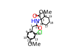 COC(=O)C1(NC(=O)Cc2ccc(OC)cc2Cl)CCCCC1C